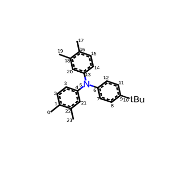 Cc1ccc(N(c2ccc(C(C)(C)C)cc2)c2ccc(C)c(C)c2)cc1C